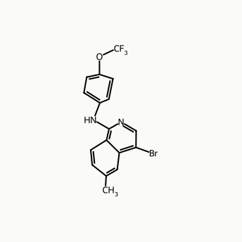 Cc1ccc2c(Nc3ccc(OC(F)(F)F)cc3)ncc(Br)c2c1